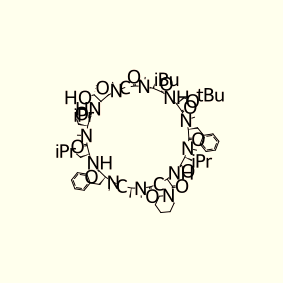 CC[C@H](C)[C@H]1C(=O)N[C@@H](COC(C)(C)C)C(=O)N(C)[C@@H](Cc2ccccc2)C(=O)N(C)[C@@H](C(C)C)C(=O)NC(C(=O)N2CCCCC2)CC(=O)N(C)[C@@H](C)CN(C)[C@@H](Cc2ccccc2)C(=O)N[C@@H](CC(C)C)C(=O)N(C)[C@@H](CC(C)C)C(=O)N[C@@H]([C@@H](C)O)C(=O)N(C)CC(=O)N1C